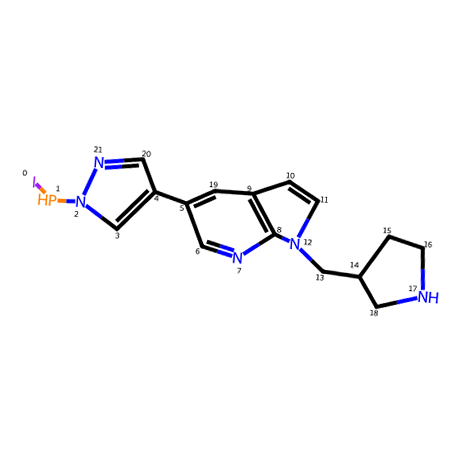 IPn1cc(-c2cnc3c(ccn3CC3CCNC3)c2)cn1